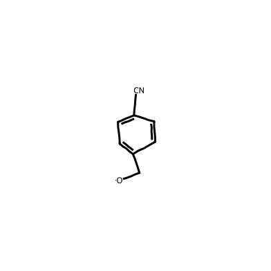 N#Cc1ccc(C[O])cc1